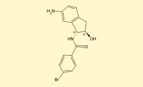 Nc1ccc2c(c1)[C@@H](NC(=O)c1ccc(Br)cc1)[C@H](O)C2